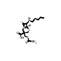 CCCCCNC1C(=O)N2CC(COC(N)=O)(C(=O)O)CS[C@H]12